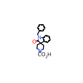 O=C(O)N1CCC2(CC1)C(=O)N(Cc1ccccc1)c1ccccc12